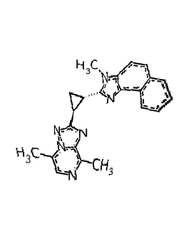 Cc1ncc(C)n2nc([C@H]3C[C@@H]3c3nc4c5ccccc5ccc4n3C)nc12